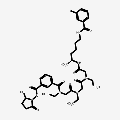 O=C(O)CN(CC(=O)N[C@H](CCCCNC(=O)c1cccc(I)c1)C(=O)O)C(=O)CN(CC(=O)O)C(=O)CN(CC(=O)O)C(=O)c1cccc(C(=O)ON2C(=O)CCC2O)c1